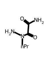 CCCN(N)C(=O)C(N)=O